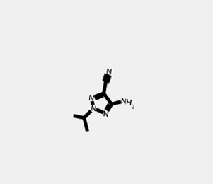 CC(C)n1nc(N)c(C#N)n1